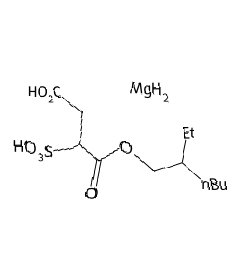 CCCCC(CC)COC(=O)C(CC(=O)O)S(=O)(=O)O.[MgH2]